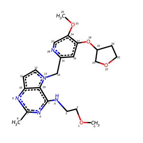 COCCNc1nc(C)nc2ccn(Cc3cc(OC4CCOC4)c(OC)cn3)c12